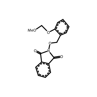 COCOc1ccccc1CON1C(=O)c2ccccc2C1=O